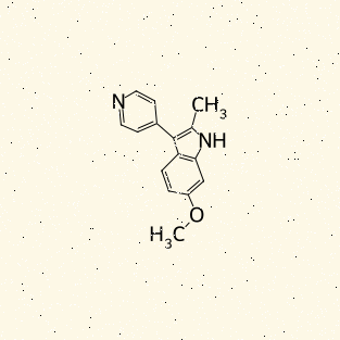 COc1ccc2c(-c3ccncc3)c(C)[nH]c2c1